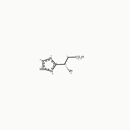 CC(C)[C@@H](CC(=O)O)c1nn[nH]n1